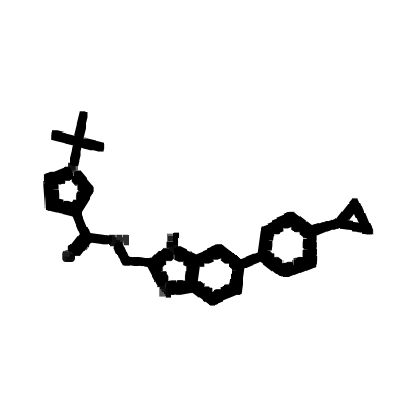 CC(C)(C)n1ccc(C(=O)NCc2nc3ccc(-c4ccc(C5CC5)cc4)cc3[nH]2)c1